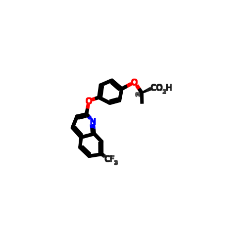 C[C@@H](Oc1ccc(Oc2ccc3ccc(C(F)(F)F)cc3n2)cc1)C(=O)O